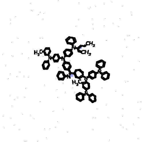 C=C/C=C(\C=C)N(c1ccccc1)c1ccc(N(c2ccc(/C(=N\c3ccccc3)C3=CC=C(N(c4ccc(N(c5ccccc5)c5ccccc5)cc4)c4ccc(N(c5ccccc5)c5ccccc5)cc4C)C=CC3)cc2)c2ccc(N(c3ccccc3)c3cccc(C)c3)cc2)cc1